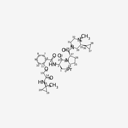 CC(C)C[C@@H](NC(=O)c1ccccc1OCC(=O)NC1(C)CC1)C(=O)N1CCC[C@@H]1C(=O)N1CCN(C)[C@@H](C2CC2)C1